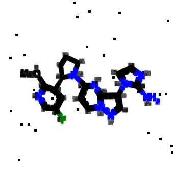 COc1ncc(F)cc1[C@H]1CCCN1c1ccn2ncc(-n3ccnc3N)c2n1